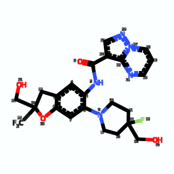 O=C(Nc1cc2c(cc1N1CCC(F)(CO)CC1)OC(CO)(C(F)(F)F)C2)c1cnn2cccnc12